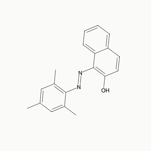 Cc1cc(C)c(/N=N/c2c(O)ccc3ccccc23)c(C)c1